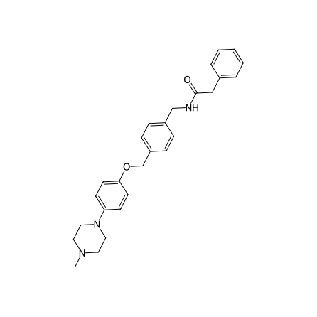 CN1CCN(c2ccc(OCc3ccc(CNC(=O)Cc4ccccc4)cc3)cc2)CC1